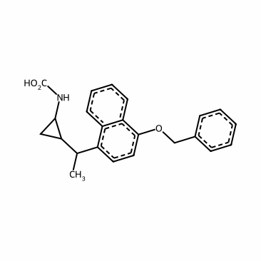 CC(c1ccc(OCc2ccccc2)c2ccccc12)C1CC1NC(=O)O